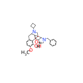 COc1ccc2c(c1O)C13CCN(C4CCC4)C(C2)C12CCC1C3[C@@H](CN1Cc1ccccc1)O2